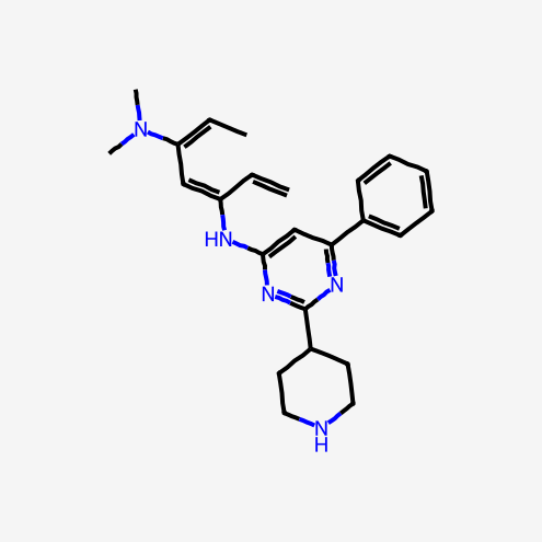 C=C/C(=C\C(=C/C)N(C)C)Nc1cc(-c2ccccc2)nc(C2CCNCC2)n1